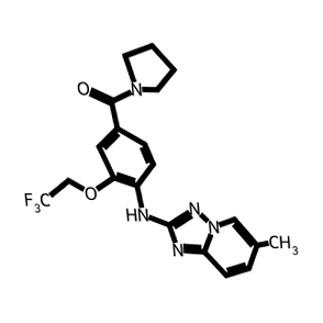 Cc1ccc2nc(Nc3ccc(C(=O)N4CCCC4)cc3OCC(F)(F)F)nn2c1